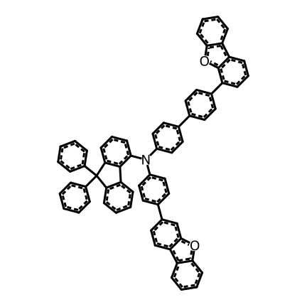 c1ccc(C2(c3ccccc3)c3ccccc3-c3c(N(c4ccc(-c5ccc(-c6cccc7c6oc6ccccc67)cc5)cc4)c4ccc(-c5ccc6c(c5)oc5ccccc56)cc4)cccc32)cc1